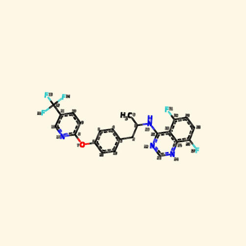 CC(Cc1ccc(Oc2ccc(C(F)(F)F)cn2)cc1)Nc1ncnc2c(F)ccc(F)c12